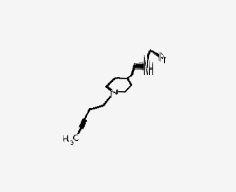 CC#CCCN1CCC(CNCC(C)C)CC1